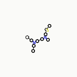 C1=C(c2ccc(N(c3ccc(-c4ccccc4)cc3)c3ccc(-c4ccc(N(c5ccccc5)c5ccc(C6=CCC(c7ccccc7)S6)cc5)cc4)cc3)cc2)CCCC1